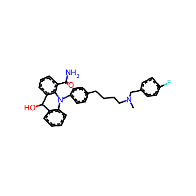 CN(CCCCc1ccc(N2c3ccccc3C(O)c3cccc(C(N)=O)c32)cc1)Cc1ccc(F)cc1